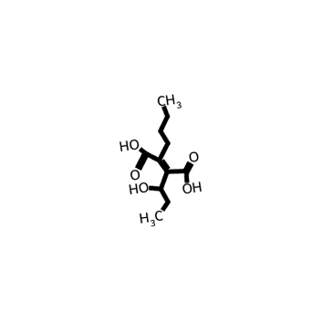 CCCC/C(C(=O)O)=C(\C(=O)O)C(O)CC